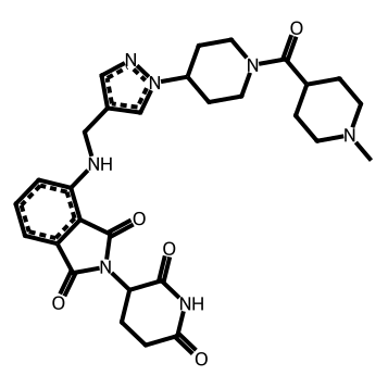 CN1CCC(C(=O)N2CCC(n3cc(CNc4cccc5c4C(=O)N(C4CCC(=O)NC4=O)C5=O)cn3)CC2)CC1